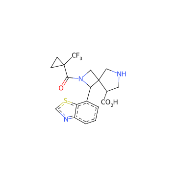 O=C(O)C1CNCC12CN(C(=O)C1(C(F)(F)F)CC1)C2c1cccc2ncsc12